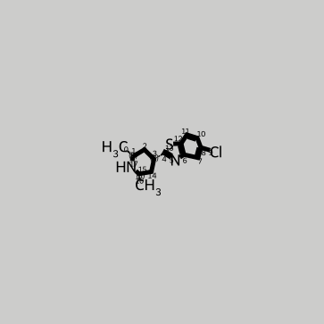 C[C@@H]1C[C@H](c2nc3cc(Cl)ccc3s2)C[C@H](C)N1